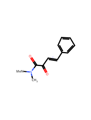 CNN(C)C(=O)C(=O)/C=C/c1ccccc1